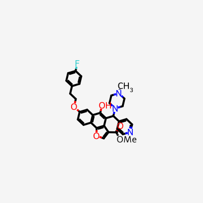 COC(=O)c1coc2c1c(C(c1ccncc1)N1CCN(C)CC1)c(O)c1cc(OCCc3ccc(F)cc3)ccc12